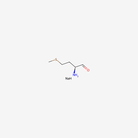 CSCC[C@H](N)C=O.[NaH]